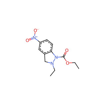 CCOC(=O)N1c2ccc([N+](=O)[O-])cc2CN1CC